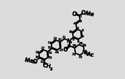 COC(=O)/C=C/c1cccc(N(Cc2ccc(-c3ccc(OC)c(C)c3)cc2)C(=O)C2CCN(C(C)=O)CC2)c1